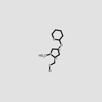 CCOC[C@@H]1C[C@H](OC2CCCCO2)CN1C(=O)O